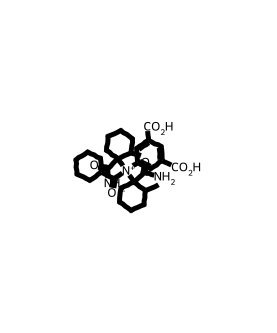 CC1CCCCC1(C(N)=O)[N+](C(=O)C1CCCCC1)(c1cc(C(=O)O)cc(C(=O)O)c1)C1(C(N)=O)CCCCC1C